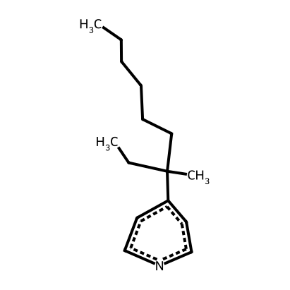 CCCCCCC(C)(CC)c1ccncc1